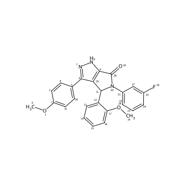 COc1ccc(-c2n[nH]c3c2C(c2ccccc2OC)N(c2cccc(F)c2)C3=O)cc1